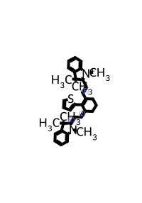 CN1/C(=C\C=C2\CCCC(/C=C/C3=[N+](C)c4ccccc4C3(C)C)=C2c2cccs2)C(C)(C)c2ccccc21